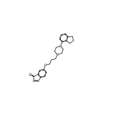 O=C1N=Cc2ccc(OCCCN3CCN(c4cccc5c4CCC5)CC3)cc21